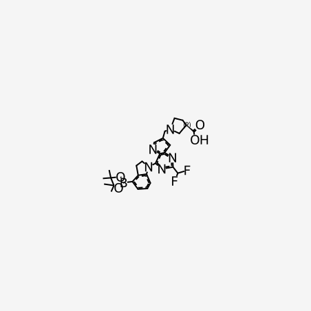 CC1(C)OB(c2cccc3c2CCN3c2nc(C(F)F)nc3cc(CN4CC[C@@H](C(=O)O)C4)cnc23)OC1(C)C